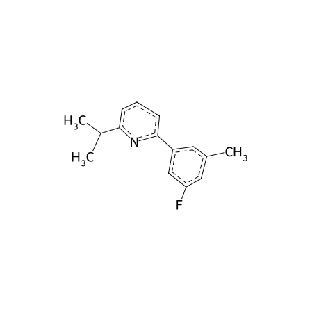 Cc1cc(F)cc(-c2cccc(C(C)C)n2)c1